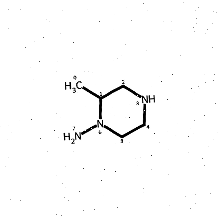 CC1CNCCN1N